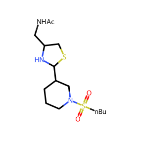 CCCCS(=O)(=O)N1CCCC(C2NC(CNC(C)=O)CS2)C1